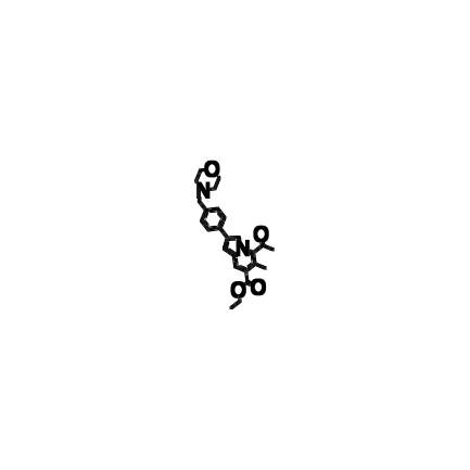 CCOC(=O)c1cc2cc(-c3ccc(CN4CCOCC4)cc3)cn2c(C(C)=O)c1C